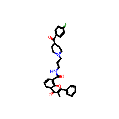 Cc1c(-c2ccccc2)oc2c(C(=O)NCCCN3CCC(C(=O)c4ccc(F)cc4)CC3)cccc2c1=O